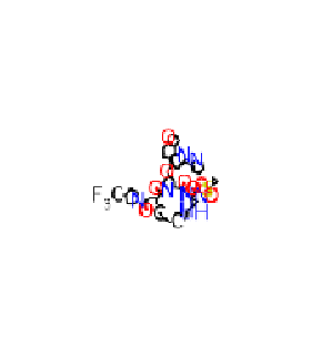 O=C1NC2(C(=O)NS(=O)(=O)C3CC3)CC2/C=C/CCCCCC(CC(=O)N2CCC(C(F)(F)F)CC2)C(=O)N2CC(Oc3cc(-c4ccccn4)nc4c5c(ccc34)OCC5)CC12